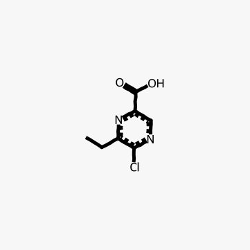 CCc1nc(C(=O)O)cnc1Cl